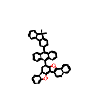 CC1(C)c2ccccc2-c2cc(-c3c4ccccc4c(-c4cc5c6ccccc6oc5c5c4oc4c6ccccc6ccc45)c4ccccc34)ccc21